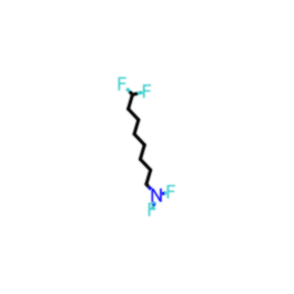 FC(F)CCCCCCCN(F)F